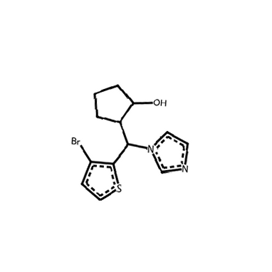 OC1CCCC1C(c1sccc1Br)n1ccnc1